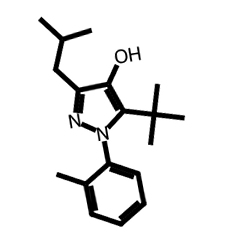 Cc1ccccc1-n1nc(CC(C)C)c(O)c1C(C)(C)C